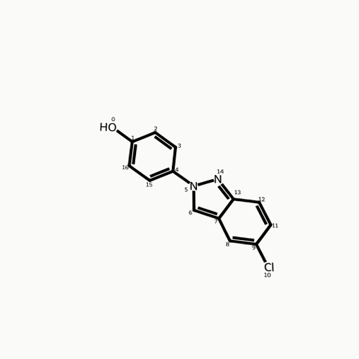 Oc1ccc(-n2cc3cc(Cl)ccc3n2)cc1